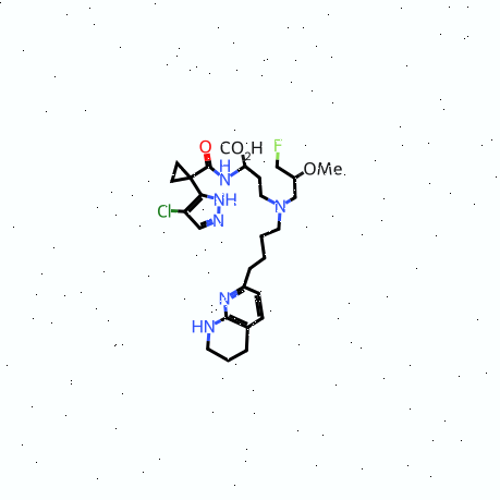 COC(CF)CN(CCCCc1ccc2c(n1)NCCC2)CCC(NC(=O)C1(c2[nH]ncc2Cl)CC1)C(=O)O